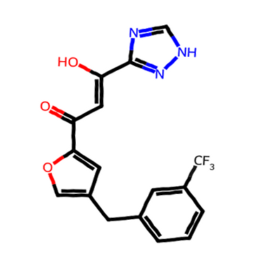 O=C(C=C(O)c1nc[nH]n1)c1cc(Cc2cccc(C(F)(F)F)c2)co1